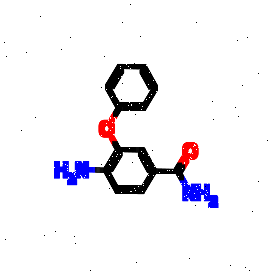 NC(=O)c1ccc(N)c(Oc2ccccc2)c1